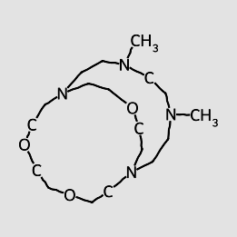 CN1CCN(C)CCN2CCOCCOCCN(CCOCC2)CC1